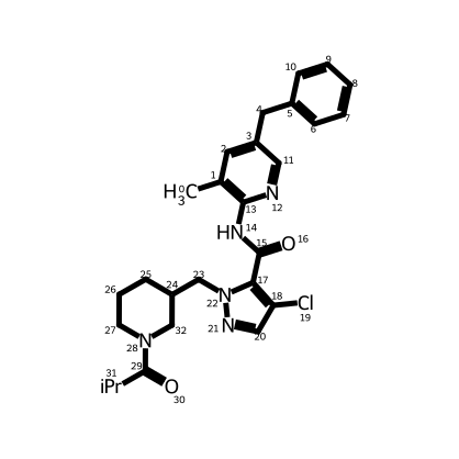 Cc1cc(Cc2ccccc2)cnc1NC(=O)c1c(Cl)cnn1CC1CCCN(C(=O)C(C)C)C1